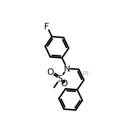 CS(=O)(=O)N(/C=C\c1ccccc1)c1ccc(F)cc1